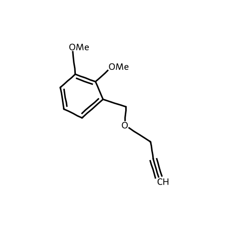 C#CCOCc1cccc(OC)c1OC